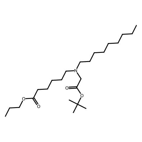 CCCCCCCCCN(CCCCCC(=O)OCCC)CC(=O)OC(C)(C)C